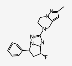 Cc1cc2n(n1)CCN(c1nc3n(n1)[C@H](c1ccccc1)C[C@@H]3F)C2